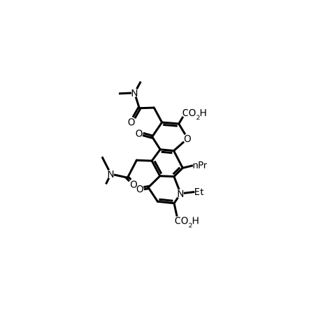 CCCc1c2oc(C(=O)O)c(CC(=O)N(C)C)c(=O)c2c(CC(=O)N(C)C)c2c(=O)cc(C(=O)O)n(CC)c12